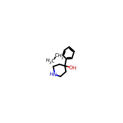 CC.OC1(c2ccccc2)CCNCC1